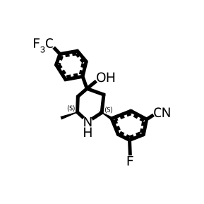 C[C@H]1CC(O)(c2ccc(C(F)(F)F)cc2)C[C@@H](c2cc(F)cc(C#N)c2)N1